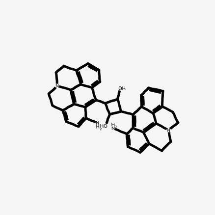 Nc1ccc2c3c4c5c(cccc5c(C5C(O)C(c6c7cccc8c7c7c9c(ccc(N)c69)CCN7CC8)C5O)c13)CCN4CC2